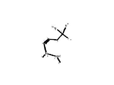 CNN(C)/C=C\CC(F)(F)F